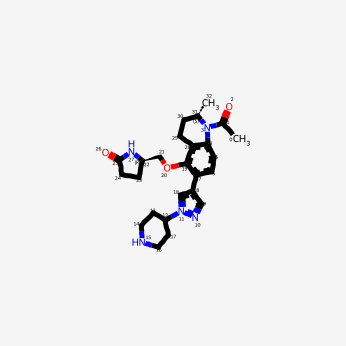 CC(=O)N1c2ccc(-c3cnn(C4CCNCC4)c3)c(OC[C@H]3CCC(=O)N3)c2CC[C@@H]1C